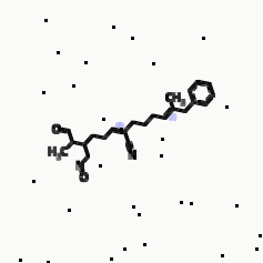 C/C(=C\CCC/C(C#N)=C/CCC(CN=O)C(C)C=O)Cc1ccccc1